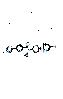 CCC1=CNC(N2CCC(N(C(=O)c3ccc(-c4cnco4)cc3)C3CC3)CC2)N=C1